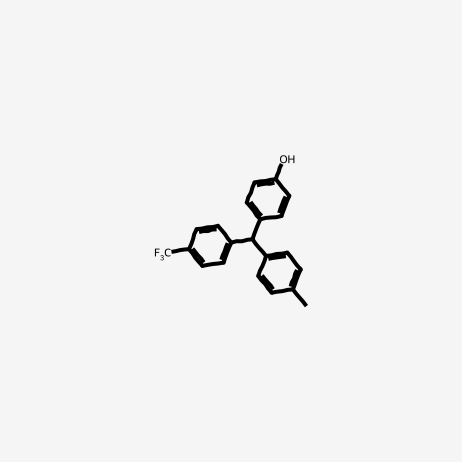 Cc1ccc(C(c2ccc(O)cc2)c2ccc(C(F)(F)F)cc2)cc1